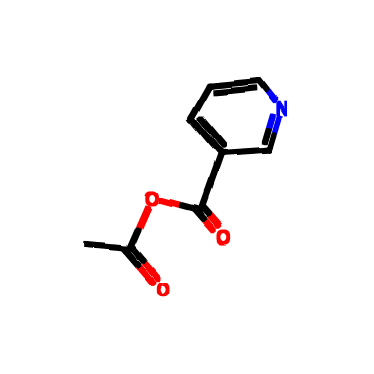 CC(=O)OC(=O)c1cccnc1